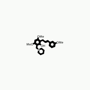 COc1cccc(/C=C/Cc2c(OC)cc(OC)c(CN3CCCCC3)c2O)c1